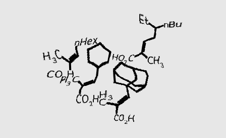 CC(=CC12CC3CC(CC(C3)C1)C2)C(=O)O.CC(=CC1CCCCC1)C(=O)O.CCCCC(CC)CC=C(C)C(=O)O.CCCCCCC=C(C)C(=O)O